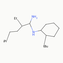 CCC(CCC(C)C)C(N)NC1CCCCC1C(C)(C)C